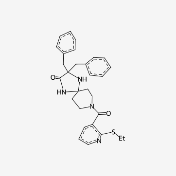 CCSc1ncccc1C(=O)N1CCC2(CC1)NC(=O)C(Cc1ccccc1)(Cc1ccccc1)N2